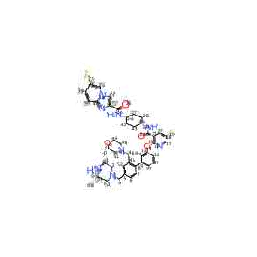 C[C@@H]1CN(Cc2ccc(-c3cccc(Oc4ncc(F)cc4C(=O)N[C@H]4CC[C@@H](NC(=O)c5cn6cc(F)ccc6n5)CC4)c3)c(CN3CCOCC3)c2)C[C@H](C)N1